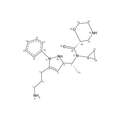 C[C@H](C1C=C(CCCN)N(c2ccccc2)N1)N(C(=O)[C@H]1CNCCO1)C1CC1